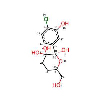 OC[C@H]1CCC(O)(O)[C@@](O)(c2ccc(Cl)c(O)c2)O1